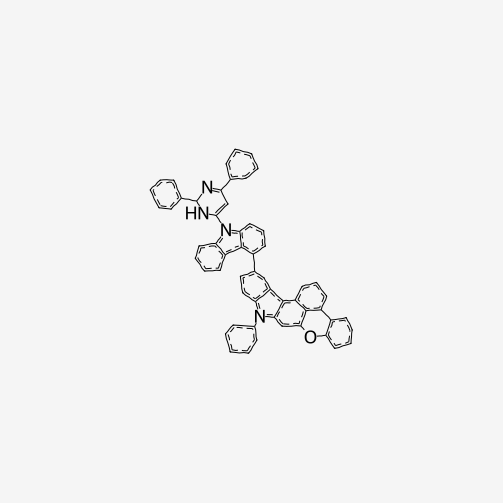 C1=C(n2c3ccccc3c3c(-c4ccc5c(c4)c4c6cccc7c6c(cc4n5-c4ccccc4)Oc4ccccc4-7)cccc32)NC(c2ccccc2)N=C1c1ccccc1